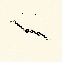 CCCCCCCCCCOc1ccc(-c2ncc(CCC3CCC(CCCCCCC)CC3)cn2)cc1